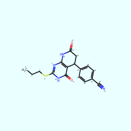 CCCSc1nc2c(c(=O)[nH]1)C(c1ccc(C#N)cc1)CC(=O)N2